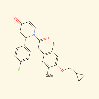 COc1cc(CC(=O)N2C=CC(=O)C[C@H]2c2ccc(F)cc2)c(Br)cc1OCC1CC1